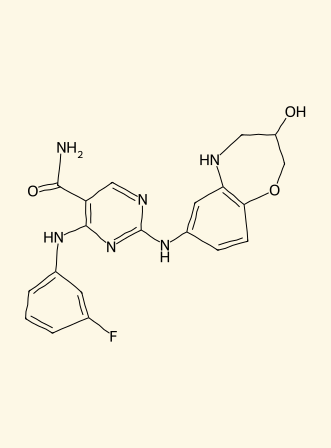 NC(=O)c1cnc(Nc2ccc3c(c2)NCC(O)CO3)nc1Nc1cccc(F)c1